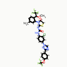 COC(c1ccc(C)cc1N1C(=O)CS/C1=N\C(=O)Nc1ccc(-n2cnc(-c3ccc(OC(F)(F)F)cc3)n2)cc1Cl)C(F)(F)F